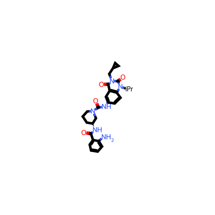 CC(C)n1c(=O)n(CC2CC2)c(=O)c2cc(NC(=O)N3CCC[C@@H](NC(=O)c4ccccc4N)C3)ccc21